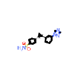 NS(=O)(=O)c1ccc([C@@H]2C[C@H]2c2cccc(-n3cncn3)c2)cc1